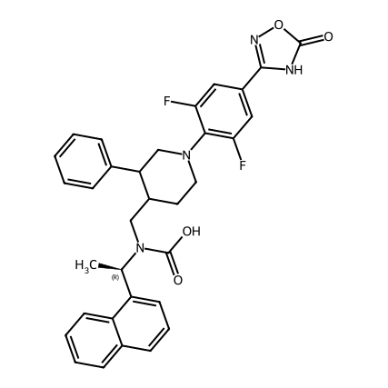 C[C@H](c1cccc2ccccc12)N(CC1CCN(c2c(F)cc(-c3noc(=O)[nH]3)cc2F)CC1c1ccccc1)C(=O)O